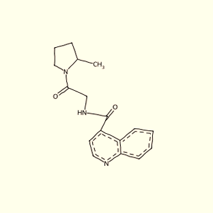 CC1CCCN1C(=O)CNC(=O)c1ccnc2ccccc12